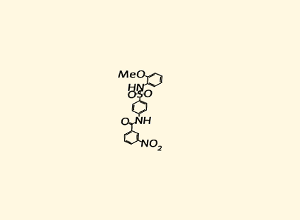 COc1ccccc1NS(=O)(=O)c1ccc(NC(=O)c2cccc([N+](=O)[O-])c2)cc1